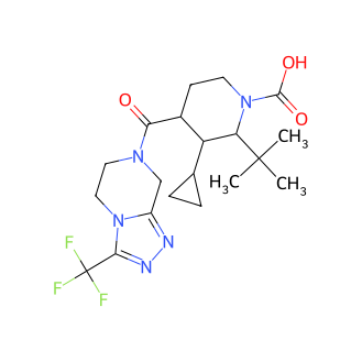 CC(C)(C)C1C(C2CC2)C(C(=O)N2CCn3c(nnc3C(F)(F)F)C2)CCN1C(=O)O